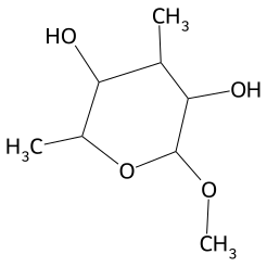 COC1OC(C)C(O)C(C)C1O